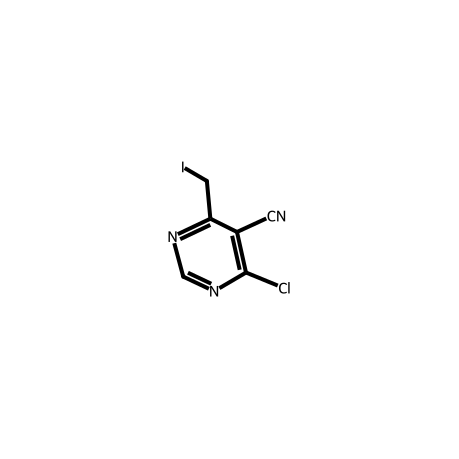 N#Cc1c(Cl)ncnc1CI